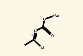 CC/C(C)=N\C(=O)OC(C)(C)C